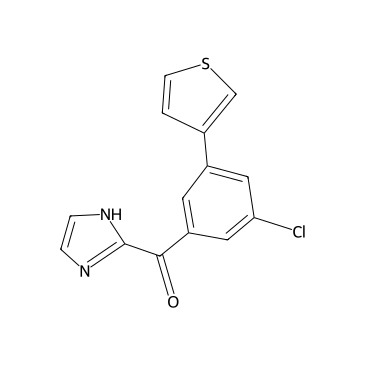 O=C(c1cc(Cl)cc(-c2ccsc2)c1)c1ncc[nH]1